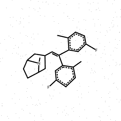 Cc1ccc(F)cc1C(=CC1CC2CCC(C1)N2C)c1cc(F)ccc1C